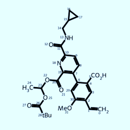 C=Cc1cc(C(=O)O)c(-c2ccc(C(=O)NCC3CC3)nc2C(=O)OC(C)OC(=O)C(C)(C)C)cc1OC